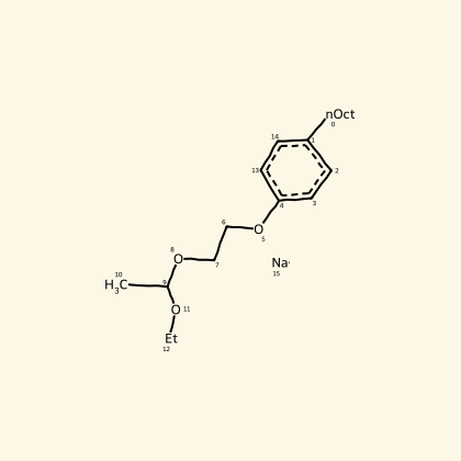 CCCCCCCCc1ccc(OCCOC(C)OCC)cc1.[Na]